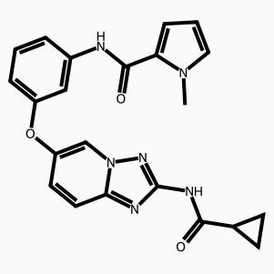 Cn1cccc1C(=O)Nc1cccc(Oc2ccc3nc(NC(=O)C4CC4)nn3c2)c1